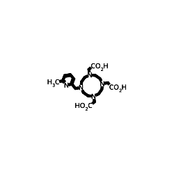 Cc1cccc(CN2CCN(CC(=O)O)CCN(CC(=O)O)CCN(CC(=O)O)CC2)n1